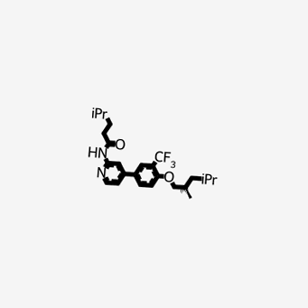 CC(C)CCC(=O)Nc1cc(-c2ccc(OC[C@H](C)CC(C)C)c(C(F)(F)F)c2)ccn1